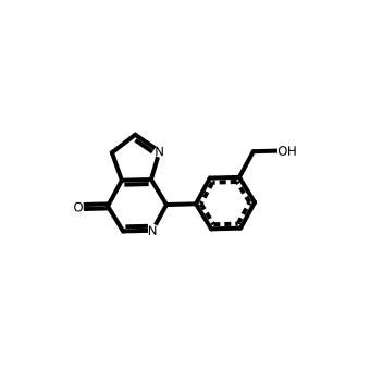 O=C1C=NC(c2cccc(CO)c2)C2=C1CC=N2